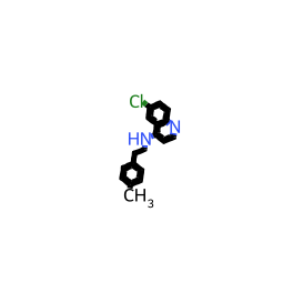 Cc1ccc(CCNc2ccnc3ccc(Cl)cc23)cc1